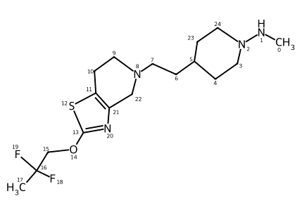 CNN1CCC(CCN2CCc3sc(OCC(C)(F)F)nc3C2)CC1